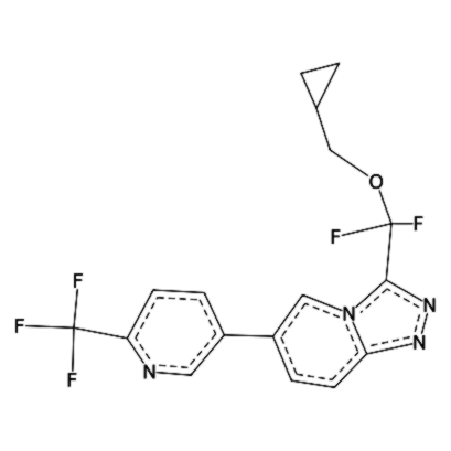 FC(F)(F)c1ccc(-c2ccc3nnc(C(F)(F)OCC4CC4)n3c2)cn1